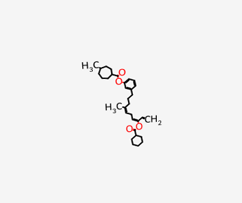 C=C/C(=C\C/C=C(/C)CCCc1cccc(OC(=O)C2CCCC(C)CC2)c1)OC(=O)C1CCCCC1